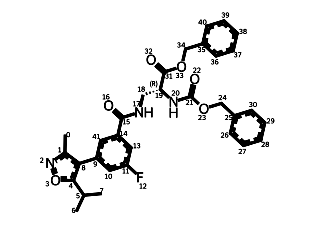 Cc1noc(C(C)C)c1-c1cc(F)cc(C(=O)NC[C@@H](NC(=O)OCc2ccccc2)C(=O)OCc2ccccc2)c1